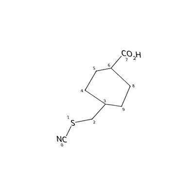 N#CSCC1CCC(C(=O)O)CC1